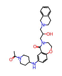 CC(=O)N1CCC(Nc2ccc3c(c2)C(=O)N(CC(O)CN2CCc4ccccc4C2)CCO3)CC1